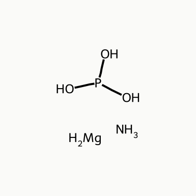 N.OP(O)O.[MgH2]